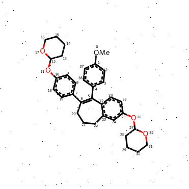 COc1ccc(C2=C(c3ccc(OC4CCCCO4)cc3)CCCc3cc(OC4CCCCO4)ccc32)cc1